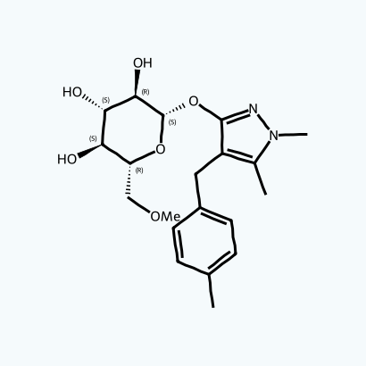 COC[C@H]1O[C@@H](Oc2nn(C)c(C)c2Cc2ccc(C)cc2)[C@H](O)[C@@H](O)[C@@H]1O